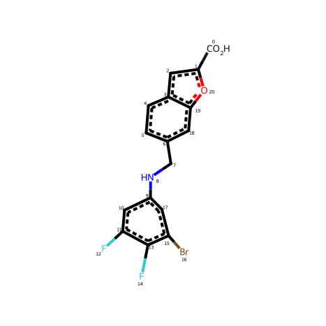 O=C(O)c1cc2ccc(CNc3cc(F)c(F)c(Br)c3)cc2o1